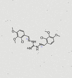 COc1ccc(/C=N/NC(=N)N/N=C/c2ccc(OC)c(OC)c2Cl)c(Cl)c1OC